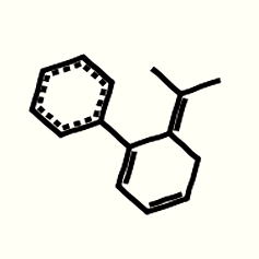 CC(C)=C1CC=CC=C1c1ccccc1